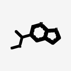 CSC(C)c1cnc2sccc2c1